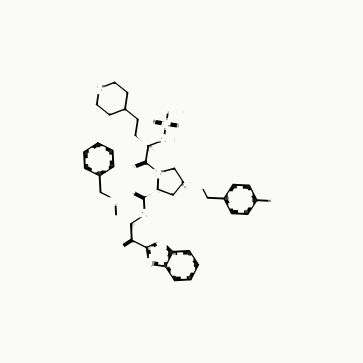 CS(=O)(=O)N[C@H](CCC1CCNCC1)C(=O)N1C[C@H](OCc2ccc(Cl)cc2)C[C@H]1C(=O)N[C@@H](COCc1ccccc1)C(=O)c1nc2ccccc2o1